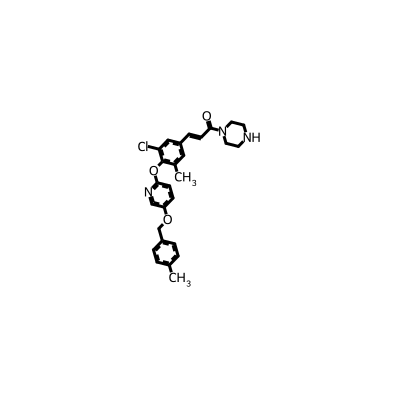 Cc1ccc(COc2ccc(Oc3c(C)cc(C=CC(=O)N4CCNCC4)cc3Cl)nc2)cc1